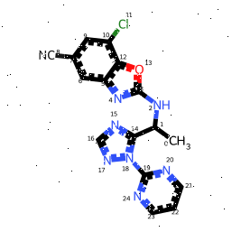 CC(Nc1nc2cc(C#N)cc(Cl)c2o1)c1ncnn1-c1ncccn1